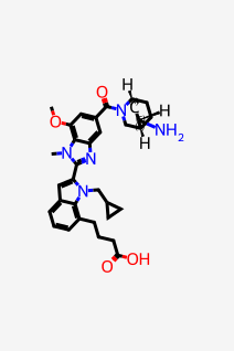 COc1cc(C(=O)N2C[C@H]3CC[C@@H]2C[C@@H]3N)cc2nc(-c3cc4cccc(CCCC(=O)O)c4n3CC3CC3)n(C)c12